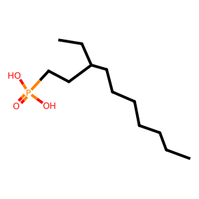 CCCCCCCC(CC)CCP(=O)(O)O